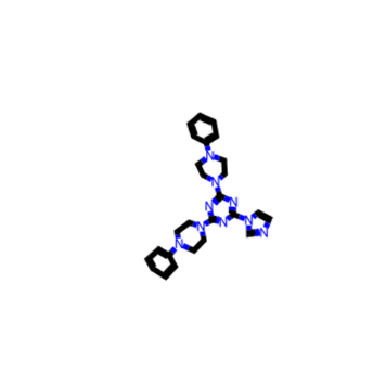 c1ccc(N2CCN(c3nc(N4CCN(c5ccccc5)CC4)nc(-n4ccnc4)n3)CC2)cc1